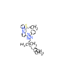 C=CCC1SC2=C(CCC=C2)/C1=C\C1NC=CC=C1c1nc(/C=C/C(C)(C)CCC[C@@H](/C=C\C)CC)nc(C2=CCC=CC=C2)n1